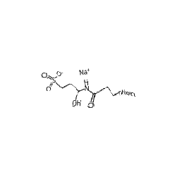 CCCCCCCCCCCC(=O)NC(O)CCS(=O)(=O)[O-].[Na+]